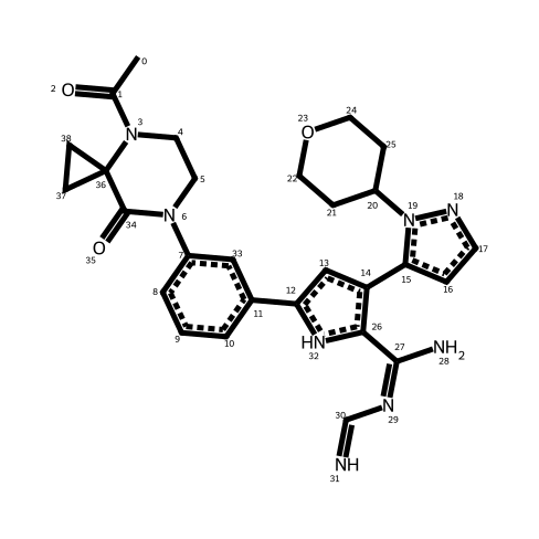 CC(=O)N1CCN(c2cccc(-c3cc(-c4ccnn4C4CCOCC4)c(/C(N)=N\C=N)[nH]3)c2)C(=O)C12CC2